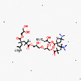 CCC(C)(CC(C)(CC(C)C(=O)O)C(=O)OCC(O)CO)C(=O)OCC(O)COCC(O)COC(=O)C(C)(C)CC(C)(CC(C)(CC(C)(CC)N(C)C)C(=O)OCC(O)COC)N(C)C